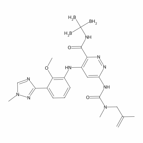 BC(B)(B)NC(=O)c1nnc(NC(=O)N(C)CC(=C)C)cc1Nc1cccc(-c2ncn(C)n2)c1OC